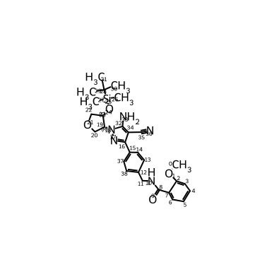 COc1ccccc1C(=O)NCc1ccc(-c2nn([C@@H]3COC[C@H]3O[Si](C)(C)C(C)(C)C)c(N)c2C#N)cc1